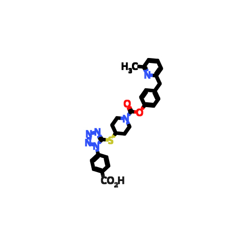 Cc1cccc(Cc2ccc(OC(=O)N3CCC(Sc4nnnn4-c4ccc(C(=O)O)cc4)CC3)cc2)n1